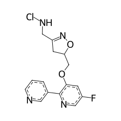 Fc1cnc(-c2cccnc2)c(OCC2CC(CNCl)=NO2)c1